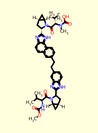 COC(=O)N[C@H](C(=O)N1C(c2nc3cc(CCc4ccc5c(ccc6nc([C@@H]7C[C@H]8C[C@H]8N7C(=O)[C@H](C(C)C)N(C)C(=O)O)[nH]c65)c4)ccc3[nH]2)C[C@H]2C[C@@H]21)C(C)C